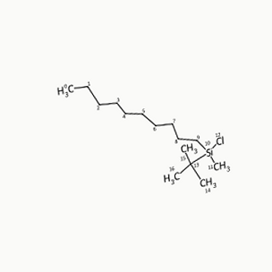 CCCCCCCCCC[Si](C)(Cl)C(C)(C)C